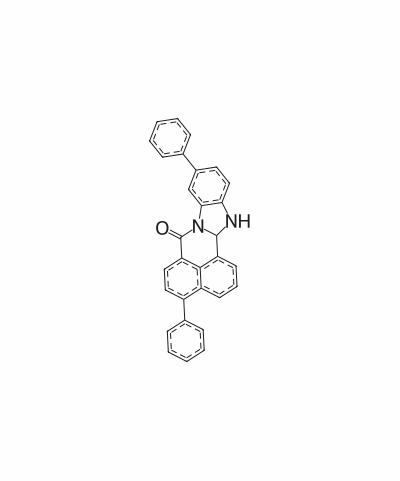 O=C1c2ccc(-c3ccccc3)c3cccc(c23)C2Nc3ccc(-c4ccccc4)cc3N12